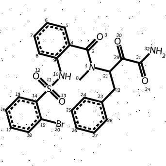 CN(C(=O)c1ccccc1NS(=O)(=O)c1ccccc1Br)C(Cc1ccccc1)C(=O)C(N)=O